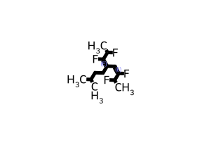 CC(C)CCC(/C=C(/F)C(C)F)=C(\F)C(C)F